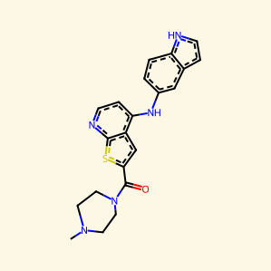 CN1CCN(C(=O)c2cc3c(Nc4ccc5[nH]ccc5c4)ccnc3s2)CC1